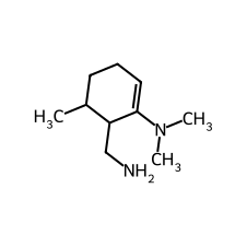 CC1CCC=C(N(C)C)C1CN